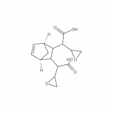 O=C(O)C(C1CO1)C1C(C(C(=O)O)C2CO2)[C@H]2C=C[C@@H]1C2